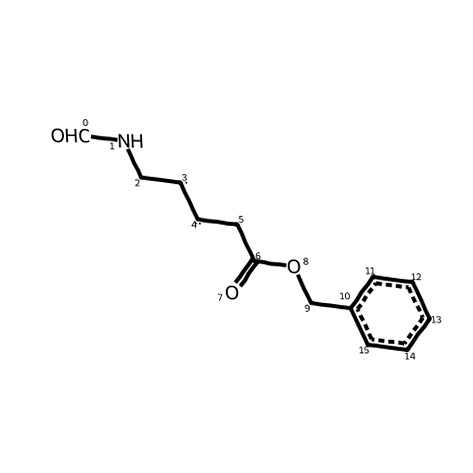 O=CNC[CH][C]CC(=O)OCc1ccccc1